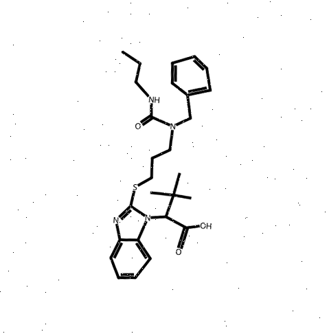 CCCNC(=O)N(CCCSc1nc2ccccc2n1C(C(=O)O)C(C)(C)C)Cc1ccccc1